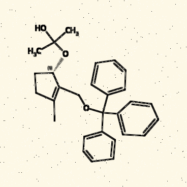 CC(C)(O)O[C@H]1CCC(I)=C1COC(c1ccccc1)(c1ccccc1)c1ccccc1